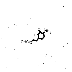 NC1CCC(CCOC=O)NC1=O